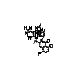 Cc1noc(-c2c(N)ncnc2N[C@@H](C)c2cc3c(F)ccc(Cl)c3c(=O)n2-c2cc(C)[nH]n2)n1